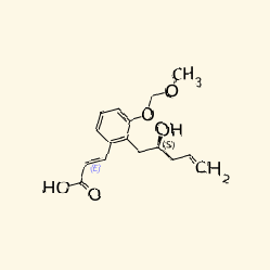 C=CC[C@H](O)Cc1c(/C=C/C(=O)O)cccc1OCOC